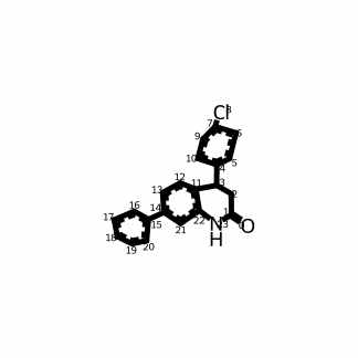 O=C1CC(c2ccc(Cl)cc2)c2ccc(-c3ccccc3)cc2N1